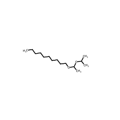 CCCCCCCCCCOC(C)OC(C)C